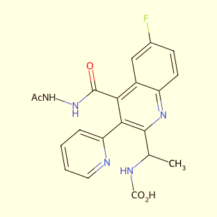 CC(=O)NNC(=O)c1c(-c2ccccn2)c(C(C)NC(=O)O)nc2ccc(F)cc12